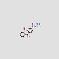 NNC(=O)c1ccc2c(c1)C(=O)c1ccccc1C2=O